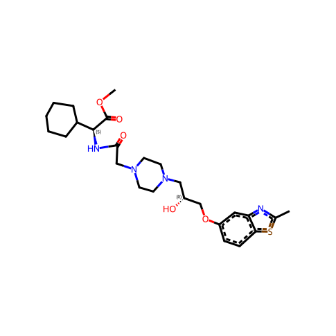 COC(=O)[C@@H](NC(=O)CN1CCN(C[C@@H](O)COc2ccc3sc(C)nc3c2)CC1)C1CCCCC1